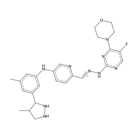 Cc1cc(Nc2ccc(/C=N/Nc3ncc(F)c(N4CCOCC4)n3)nc2)cc(C2NNCC2C)c1